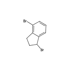 Brc1cccc2c1CCC2Br